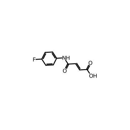 O=C(O)C=CC(=O)Nc1ccc(F)cc1